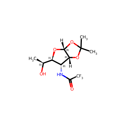 C[C@H](O)[C@H]1O[C@@H]2OC(C)(C)O[C@@H]2[C@@H]1NC(=O)C(F)(F)F